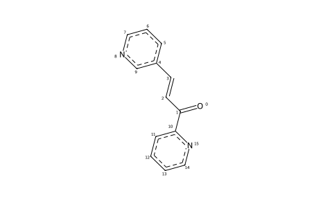 O=C(C=Cc1cccnc1)c1ccccn1